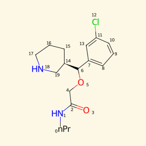 CCCNC(=O)COC(c1cccc(Cl)c1)[C@@H]1CCCNC1